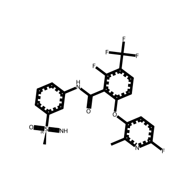 Cc1nc(F)ccc1Oc1ccc(C(F)(F)F)c(F)c1C(=O)Nc1cccc([S@](C)(=N)=O)c1